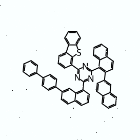 c1ccc(-c2ccc(-c3ccc4cccc(-c5nc(-c6c(-c7ccc8ccccc8c7)ccc7ccccc67)nc(-c6cccc7c6sc6ccccc67)n5)c4c3)cc2)cc1